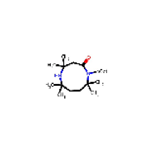 CCCCCCCCN1C(=O)CC(C)(C)NC(C)(C)CCC1(C)C